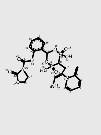 C=C1C=CC=CN1/C(=C\N)CC1P(=O)(O)OC(c2ccccc2OC(=O)N2CCOC2=O)OP1(=O)O